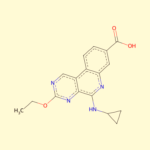 CCOc1ncc2c(n1)c(NC1CC1)nc1cc(C(=O)O)ccc12